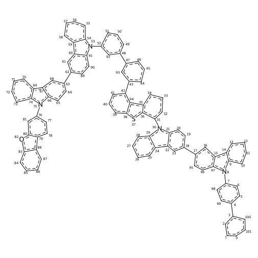 c1ccc(-c2ccc(-n3c4ccccc4c4cc(-c5ccc6c(c5)c5ccccc5n6-c5cccc6c5sc5cccc(-c7cccc(-c8cccc(-n9c%10ccccc%10c%10cc(-c%11ccc%12c(c%11)c%11ccccc%11n%12-c%11ccc%12c(c%11)oc%11ccccc%11%12)ccc%109)c8)c7)c56)ccc43)cc2)cc1